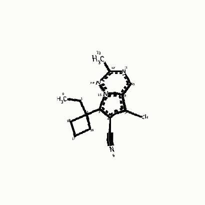 CCC1(c2c(C#N)c(Cl)c3cnc(C)nn23)CCC1